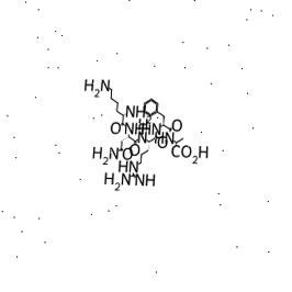 C[C@H](NC(=O)[C@H](Cc1ccccc1)NC(=O)[C@H](CCCNC(=N)N)NC(=O)[C@H](CC(N)=O)NC(=O)[C@@H](N)CCCCN)C(=O)O